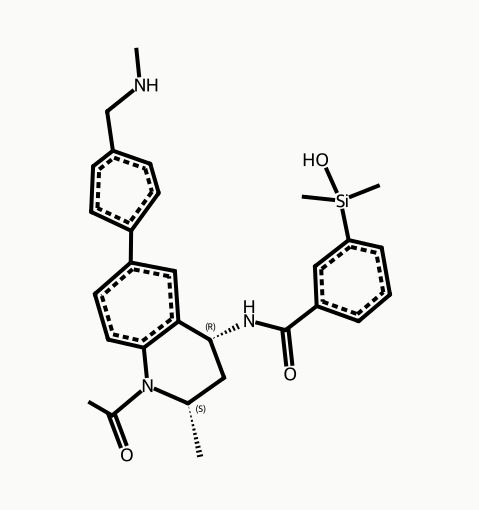 CNCc1ccc(-c2ccc3c(c2)[C@H](NC(=O)c2cccc([Si](C)(C)O)c2)C[C@H](C)N3C(C)=O)cc1